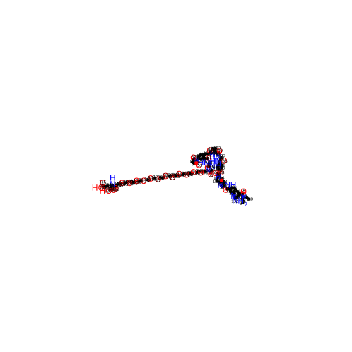 CCCN(CCC)C(=O)C1=Cc2ccc(C(=O)Nc3cnc4c(c3)CN(C(=O)Oc3ccc(NC(=O)[C@H](C)NC(=O)[C@@H](NC(=O)CCc5ccc(N6C(=O)C=CC6=O)cc5C(=O)NCC(=O)NCC(=O)NCCOCCOCCOCCOCCOCCOCCOCCOCCOCCOCCOCCOCCC(=O)N[C@@H](CCC(=O)O)C(=O)O)C(C)C)cc3)CC4)cc2N=C(N)C1